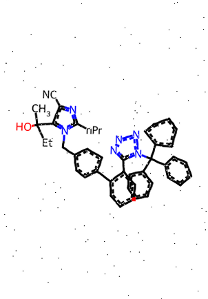 CCCc1nc(C#N)c(C(C)(O)CC)n1Cc1ccc(-c2ccccc2-c2nnnn2C(c2ccccc2)(c2ccccc2)c2ccccc2)cc1